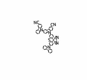 N#Cc1ccc2c(c1)c1ccccc1n2-c1ccc2c(c1)c1cc(C#N)ccc1n2-c1ccc2c(c1)Sc1cc(-n3c4ccccc4c4ccccc43)ccc1C21c2cccnc2-c2ncccc21